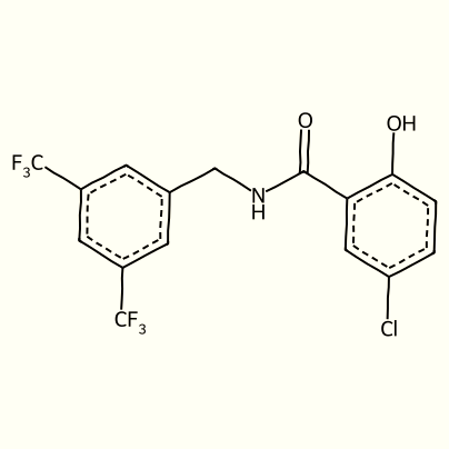 O=C(NCc1cc(C(F)(F)F)cc(C(F)(F)F)c1)c1cc(Cl)ccc1O